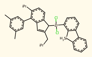 Cc1cc(C)cc(-c2c(C(C)C)ccc3c2C=C(CC(C)C)[CH]3[Zr]([Cl])([Cl])[c]2cccc3c2[SiH2]c2ccccc2-3)c1